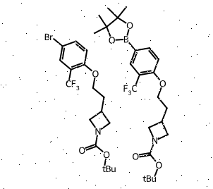 CC(C)(C)OC(=O)N1CC(CCOc2ccc(B3OC(C)(C)C(C)(C)O3)cc2C(F)(F)F)C1.CC(C)(C)OC(=O)N1CC(CCOc2ccc(Br)cc2C(F)(F)F)C1